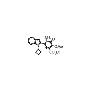 CCOC(=O)c1nc(-c2cc3ccccc3n2C2CCC2)n(C)c(=O)c1OC